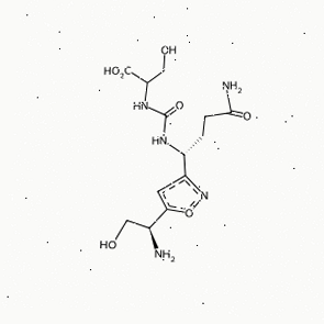 NC(=O)CC[C@@H](NC(=O)NC(CO)C(=O)O)c1cc([C@@H](N)CO)on1